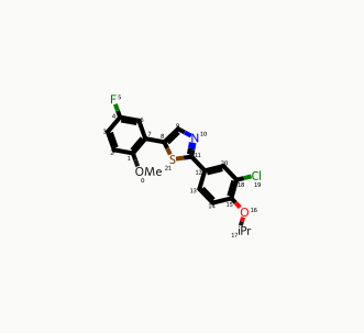 COc1[c]cc(F)cc1-c1cnc(-c2ccc(OC(C)C)c(Cl)c2)s1